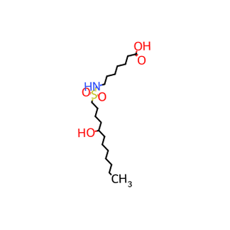 CCCCCCCC(O)CCCCS(=O)(=O)NCCCCCCC(=O)O